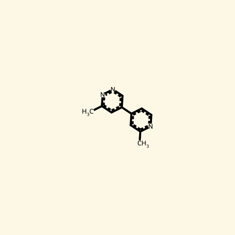 Cc1cc(-c2cnnc(C)c2)ccn1